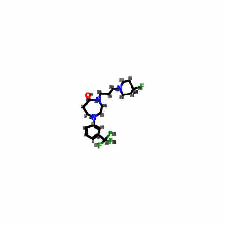 O=C1CCN(c2cccc(C(F)(F)F)c2)CCN1CCCN1CCC(F)CC1